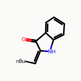 CCCCC=C1Nc2ccccc2C1=O